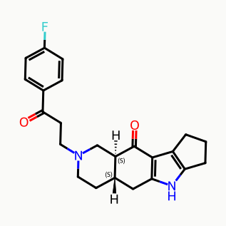 O=C(CCN1CC[C@H]2Cc3[nH]c4c(c3C(=O)[C@@H]2C1)CCC4)c1ccc(F)cc1